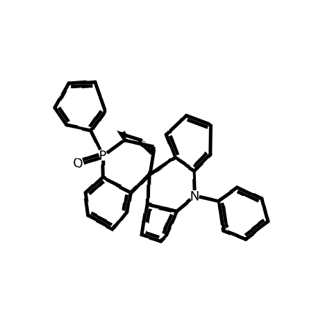 O=P1(c2ccccc2)c2ccccc2C2(c3ccccc3N(c3ccccc3)c3ccccc32)c2ccccc21